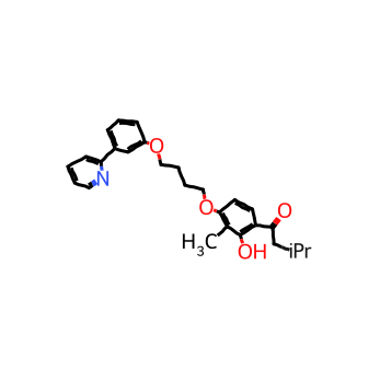 Cc1c(OCCCCOc2cccc(-c3ccccn3)c2)ccc(C(=O)CC(C)C)c1O